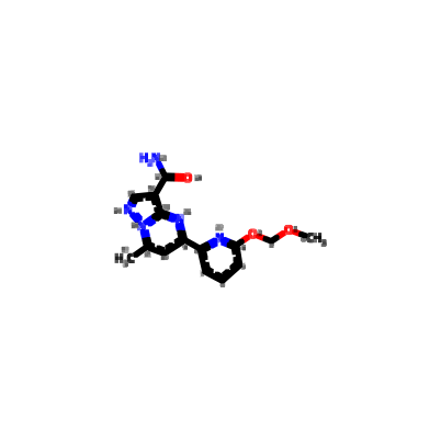 COCOc1cccc(-c2cc(C)n3ncc(C(N)=O)c3n2)n1